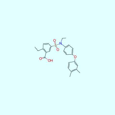 CCc1ccc(S(=O)(=O)N(CC)c2ccc(Oc3ccc(C)c(C)c3)cc2)cc1C(=O)O